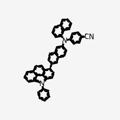 N#Cc1ccc(N(c2ccc3cc(-c4ccc5c6c4ccc4cccc(c46)n5-c4ccccc4)ccc3c2)c2cccc3ccccc23)cc1